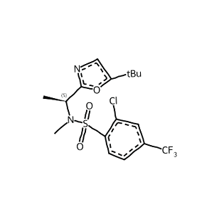 C[C@@H](c1ncc(C(C)(C)C)o1)N(C)S(=O)(=O)c1ccc(C(F)(F)F)cc1Cl